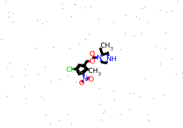 CCC1CNCCN1C(=O)OCc1cc(Cl)cc([N+](=O)[O-])c1C